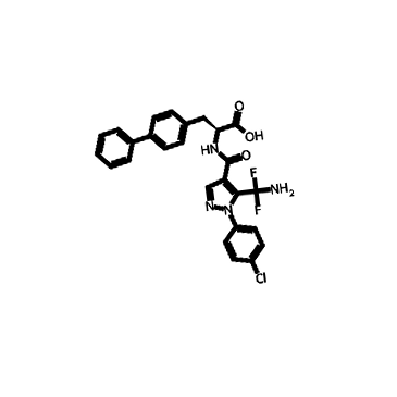 NC(F)(F)c1c(C(=O)N[C@@H](Cc2ccc(-c3ccccc3)cc2)C(=O)O)cnn1-c1ccc(Cl)cc1